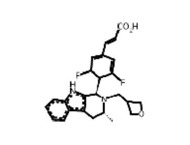 C[C@@H]1Cc2c([nH]c3ccccc23)[C@@H](C2C(F)=CC(/C=C/C(=O)O)=CC2F)N1CC1COC1